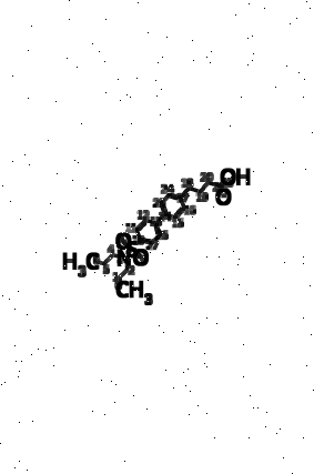 CCCN(CCC)S(=O)(=O)c1ccc(-c2ccc(CCCC(=O)O)cc2)cc1